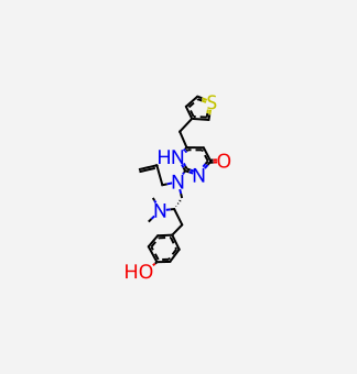 C=CCN(C[C@H](Cc1ccc(O)cc1)N(C)C)c1nc(=O)cc(Cc2ccsc2)[nH]1